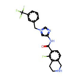 O=C(Nc1cn(Cc2cccc(C(F)(F)F)c2)cn1)c1ccc2c(c1F)CCNC2